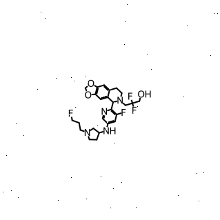 OCC(F)(F)CN1CCc2cc3c(cc2C1c1ncc(NC2CCN(CCCF)C2)cc1F)OCO3